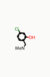 CNCc1ccc(Cl)cc1O